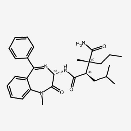 CCC[C@@](C)(C(N)=O)[C@@H](CC(C)C)C(=O)N[C@H]1N=C(c2ccccc2)c2ccccc2N(C)C1=O